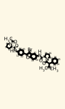 CC(=O)N1CCC[C@H]1C(=O)Nc1ccc(-c2oc3ccc(NC(=O)[C@@H]4CCCN4C(=O)C(c4ccccc4)C(C)C)cc3c2Br)cc1